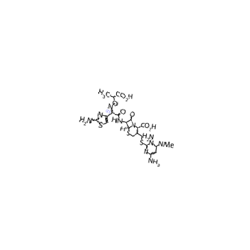 CNC1C=C(N)N=C(SCC2=C(C(=O)O)N3C(=O)C(NC(=O)/C(=N\OC(C)C(=O)O)c4csc(N)n4)[C@@H]3SC2)N1N